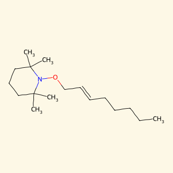 CCCCC/C=C/CON1C(C)(C)CCCC1(C)C